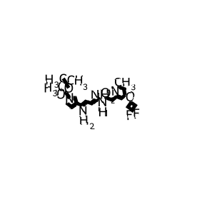 Cc1cc(OC2CC(F)(F)C2)cc(CC(=O)N/C(N)=C/C=C(\N)C2=CCN(C(=O)OC(C)(C)C)C2)n1